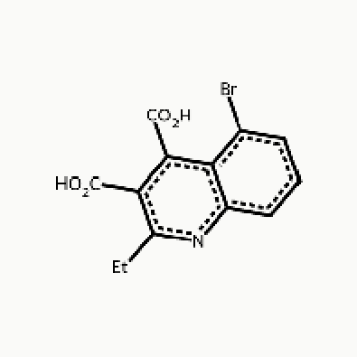 CCc1nc2cccc(Br)c2c(C(=O)O)c1C(=O)O